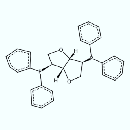 c1ccc(P(c2ccccc2)[C@H]2CO[C@H]3[C@@H]2OC[C@@H]3P(c2ccccc2)c2ccccc2)cc1